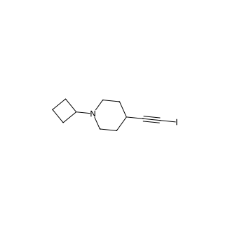 IC#CC1CCN(C2CCC2)CC1